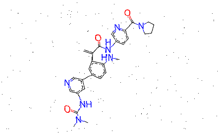 C=C(C(=O)Nc1ccc(C(=O)N2CCCC2)nc1)c1cc(-c2cncc(NC(=O)N(C)C)c2)ccc1NC